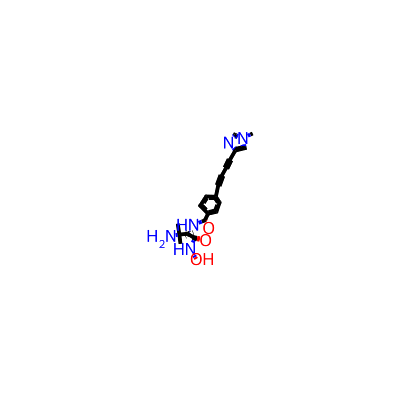 Cn1cnc(C#CC#Cc2ccc(C(=O)N[C@H](C(=O)NO)C(C)(C)N)cc2)c1